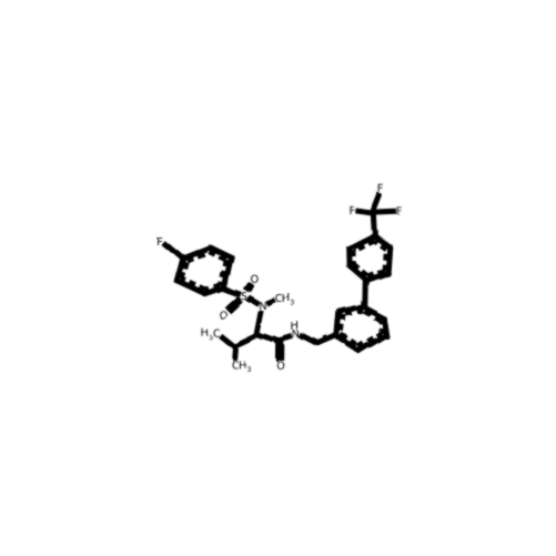 CC(C)C(C(=O)NCc1cccc(-c2ccc(C(F)(F)F)cc2)c1)N(C)S(=O)(=O)c1ccc(F)cc1